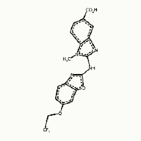 Cn1c(Nc2nc3ccc(OCC(F)(F)F)cc3o2)nc2cc(C(=O)O)ccc21